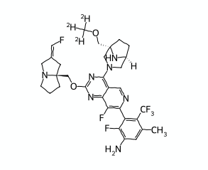 [2H]C([2H])([2H])OC[C@@]12CC[C@@H](CN(c3nc(OC[C@@]45CCCN4C/C(=C/F)C5)nc4c(F)c(-c5c(F)c(N)cc(C)c5C(F)(F)F)ncc34)C1)N2